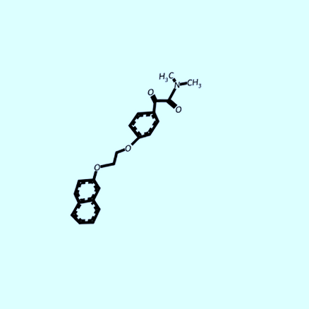 CN(C)C(=O)C(=O)c1ccc(OCCOc2ccc3ccccc3c2)cc1